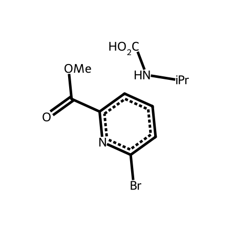 CC(C)NC(=O)O.COC(=O)c1cccc(Br)n1